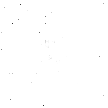 C[SiH]1[Si](C)(C)CC(C)(C)O[Si]1(C)C